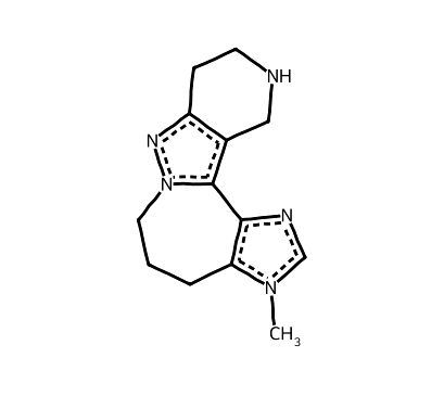 Cn1cnc2c1CCCn1nc3c(c1-2)CNCC3